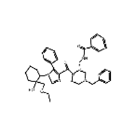 CCOCC1(O)CCCCC1n1cnc(C(=O)N2CCN(Cc3ccccc3)C[C@H]2CNC(=O)c2ccccc2)c1-c1ccccc1